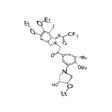 CCOc1cc2c(c(F)c1OCC)/C(=N/C(=O)C(F)(F)F)N(CC(=O)c1cc(N3C[C@H](OCC)[C@@H](O)C3)c(OC)c(C(C)(C)C)c1)C2